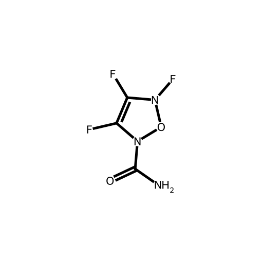 NC(=O)N1ON(F)C(F)=C1F